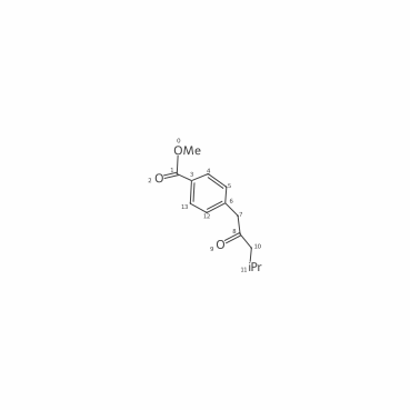 COC(=O)c1ccc(CC(=O)CC(C)C)cc1